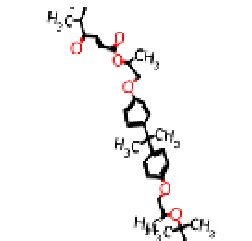 CCC(C)C(=O)/C=C/C(=O)OC(C)COc1ccc(C(C)(C)c2ccc(OCC(C)OC(C)(C)CC)cc2)cc1